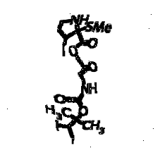 CS[C@]1(C(=O)OC(=O)CNC(=O)OC(C)(C)C(I)I)NCCC1I